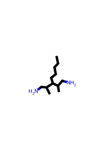 CCCCCC(C(C)CN)C(C)CN